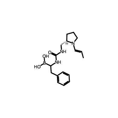 CC=CN1CCC[C@H]1CNC(=O)NC(Cc1ccccc1)B(O)O